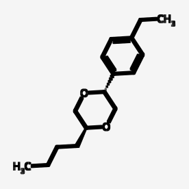 CCCC[C@H]1CO[C@H](c2ccc(CC)cc2)CO1